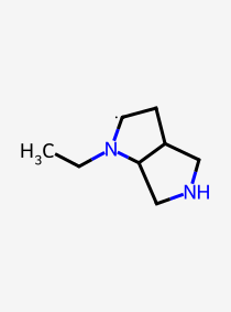 CCN1[CH]CC2CNCC21